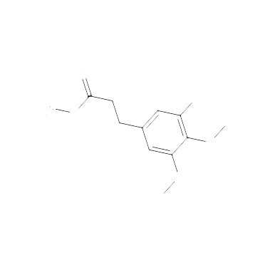 COc1cc(CCC(=O)ON)cc(Cl)c1OC